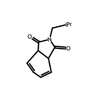 CC(C)CN1C(=O)C2C=CC=CC2C1=O